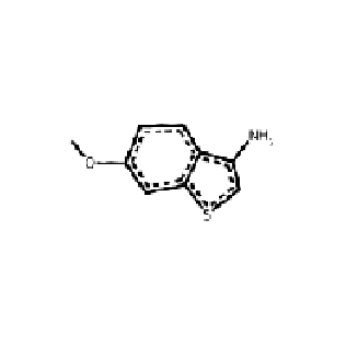 COc1ccc2c(N)csc2c1